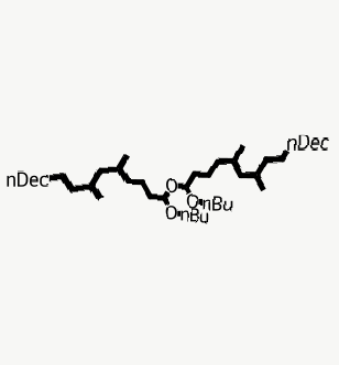 CCCCCCCCCCCCC(C)CC(C)CCCC(OCCCC)OC(CCCC(C)CC(C)CCCCCCCCCCCC)OCCCC